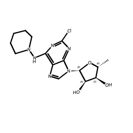 C[C@H]1O[C@@H](n2cnc3c(NN4CCCCC4)nc(Cl)nc32)[C@H](O)[C@@H]1O